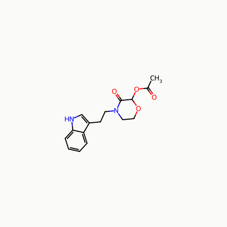 CC(=O)OC1OCCN(CCc2c[nH]c3ccccc23)C1=O